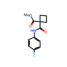 COC(=O)C1(C(=O)Nc2ccc(F)cc2)CCC1